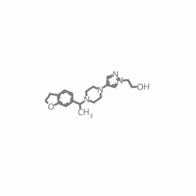 CC(c1ccc2c(c1)OCC2)N1CCN(c2cnn(CCO)c2)CC1